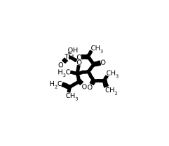 C=C(C)C(=O)C(C(=O)C(=C)C)C(C)([O][Ti](=[O])[OH])C(=O)C(=C)C